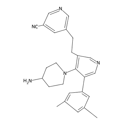 Cc1cc(C)cc(-c2cncc(CCc3cncc(C#N)c3)c2N2CCC(N)CC2)c1